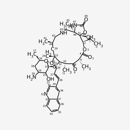 CC[C@H]1OC(=O)[C@H](C)C(=O)[C@H](C)C(O[C@@H]2O[C@H](C)CC(N)C2O)[C@](C)(OC/C=C/c2cnc3ccccc3c2)C[C@@H](C)CN[C@H](C)[C@H]2NC(=O)O[C@@]21C